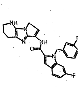 O=C(NC1=CCn2c1nc1c2NCCC1)c1cc2ccc(F)cc2n1Cc1cccc(F)c1